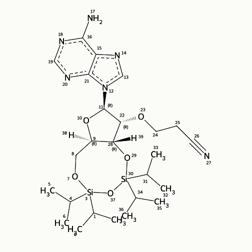 CC(C)[Si]1(C(C)C)OC[C@H]2O[C@@H](n3cnc4c(N)ncnc43)[C@H](OCCC#N)[C@@H]2O[Si](C(C)C)(C(C)C)O1